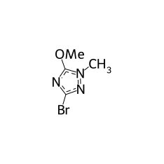 COc1nc(Br)nn1C